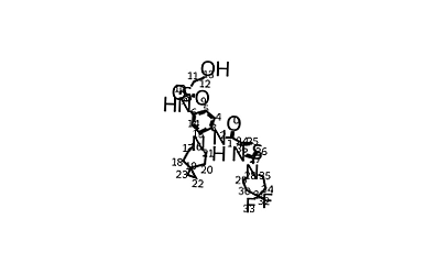 O=C(Nc1ccc(NS(=O)(=O)CCO)cc1N1CCC2(CC1)CC2)c1csc(N2CCC(F)(F)CC2)n1